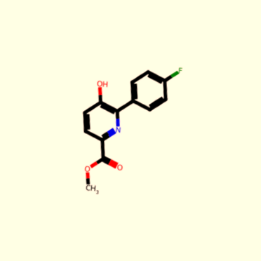 COC(=O)c1ccc(O)c(-c2ccc(F)cc2)n1